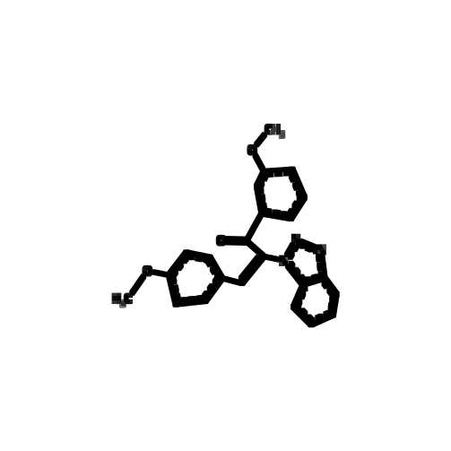 COc1ccc(C=C(C(=O)c2cccc(OC)c2)n2nnc3ccccc32)cc1